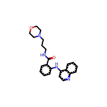 O=C(NCCCN1CCOCC1)c1ccccc1Nc1ccnc2ccccc12